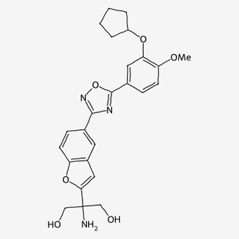 COc1ccc(-c2nc(-c3ccc4oc(C(N)(CO)CO)cc4c3)no2)cc1OC1CCCC1